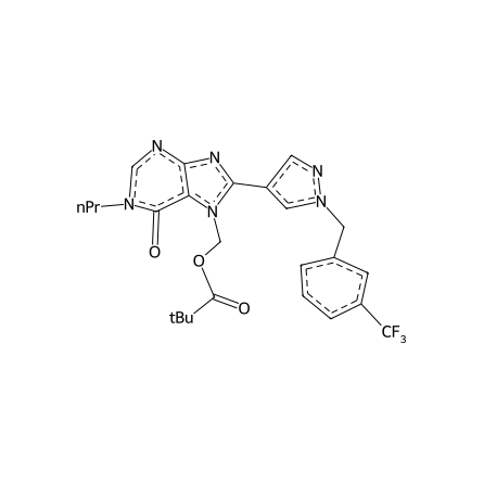 CCCn1cnc2nc(-c3cnn(Cc4cccc(C(F)(F)F)c4)c3)n(COC(=O)C(C)(C)C)c2c1=O